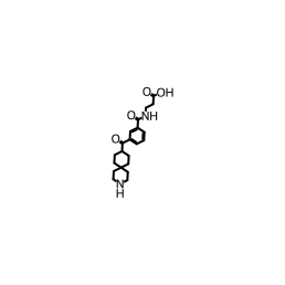 O=C(O)CCNC(=O)c1cccc(C(=O)C2CCC3(CCNCC3)CC2)c1